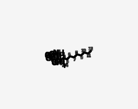 C.C.C.CCCCCCCCCC.N=C=O.N=C=O